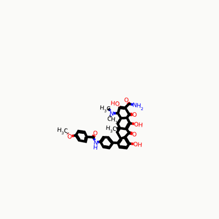 COc1ccc(C(=O)Nc2ccc(-c3ccc(O)c4c3CC3(C)CC5C(C(=O)C(C(N)=O)=C(O)C5N(C)C)C(O)=C3C4=O)cc2)cc1